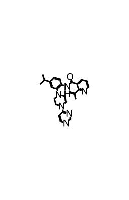 C=C(C)c1ncccc1C(=O)Nc1ccc(C(C)C)cc1N1CCN(c2ccncn2)CC1